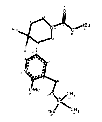 COc1ncc([C@H]2CN(C(=O)OC(C)(C)C)CCC2(F)F)cc1CO[Si](C)(C)C(C)(C)C